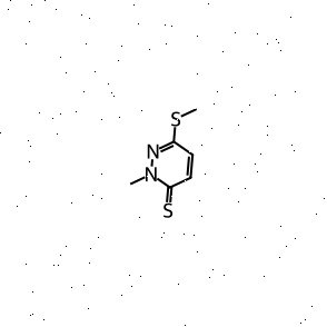 CSc1ccc(=S)n(C)n1